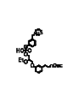 CCCCCCCCCCCCc1cccc(OCC(COP(=O)(O)Oc2cccc(C[n+]3ccsc3)c2)OCC)c1